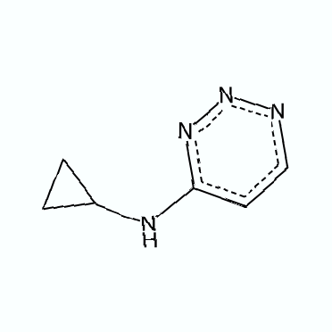 c1cc(NC2CC2)nnn1